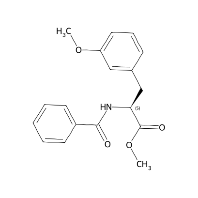 COC(=O)[C@H](Cc1cccc(OC)c1)NC(=O)c1ccccc1